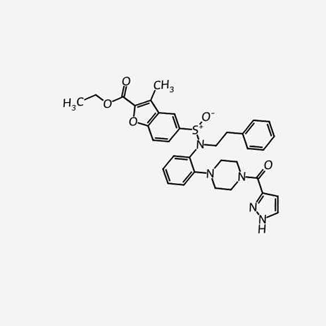 CCOC(=O)c1oc2ccc([S+]([O-])N(CCc3ccccc3)c3ccccc3N3CCN(C(=O)c4cc[nH]n4)CC3)cc2c1C